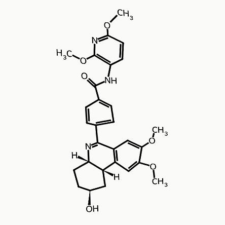 COc1ccc(NC(=O)c2ccc(C3=N[C@H]4CC[C@H](O)C[C@H]4c4cc(OC)c(OC)cc43)cc2)c(OC)n1